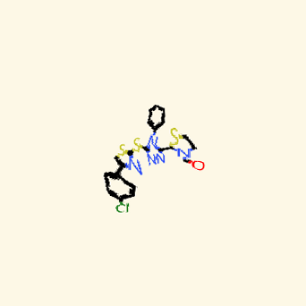 O=CN1CCSC1c1nnc(Sc2nc(-c3ccc(Cl)cc3)cs2)n1-c1ccccc1